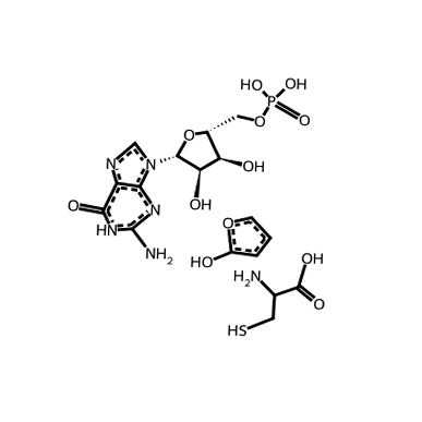 NC(CS)C(=O)O.Nc1nc2c(ncn2[C@@H]2O[C@H](COP(=O)(O)O)[C@@H](O)[C@H]2O)c(=O)[nH]1.Oc1ccco1